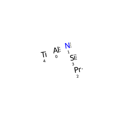 [Al].[N].[Pr].[Si].[Ti]